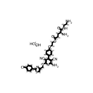 Cl.Cl.N#Cc1c(N)nc(SCc2csc(-c3ccc(Cl)cc3)n2)c(C#N)c1-c1ccc(OCCOC(=O)CC[C@H](N)C(=O)NCCN)cc1